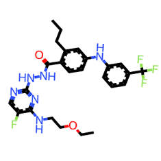 CCCc1cc(Nc2cccc(C(F)(F)F)c2)ccc1C(=O)NNc1ncc(F)c(NCCOCC)n1